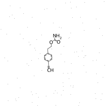 C#Cc1ccc(CCOC(N)=O)cc1